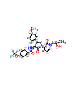 COc1ccc([C@@H]2CN(c3cccn(CC(C)O)c3=O)C(=O)C2NC(=O)c2ccc(OC(F)(F)F)cc2)c(F)c1